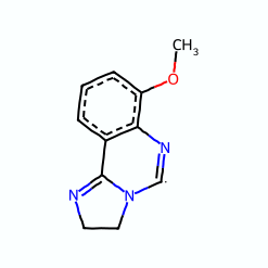 COc1cccc2c1N=[C]N1CCN=C21